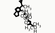 CC(c1ccc2c(c1NC(=O)NS(=O)(=O)c1cc(C(C)(C)O)co1)CCC2)C1CC1